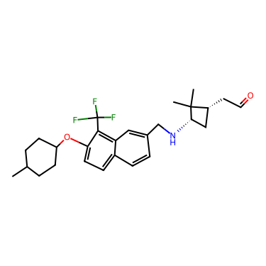 CC1CCC(Oc2ccc3ccc(CN[C@H]4C[C@@H](CC=O)C4(C)C)cc3c2C(F)(F)F)CC1